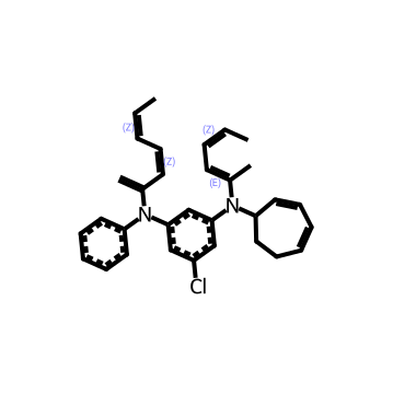 C=C(/C=C\C=C/C)N(c1ccccc1)c1cc(Cl)cc(N(/C(C)=C/C=C\C)C2C=CC=CCC2)c1